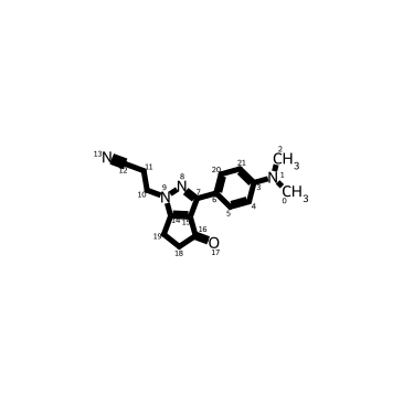 CN(C)c1ccc(-c2nn(CCC#N)c3c2C(=O)CC3)cc1